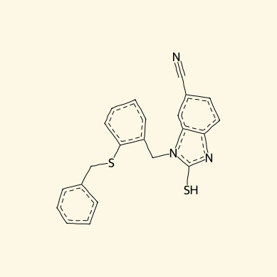 N#Cc1ccc2nc(S)n(Cc3ccccc3SCc3ccccc3)c2c1